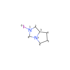 IN1CC2CCCN2C1